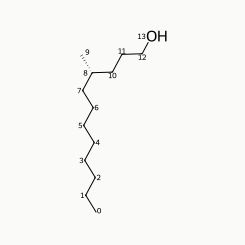 CCCCCCCC[C@H](C)CCCO